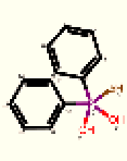 OP(O)(S)(c1ccccc1)c1ccccc1